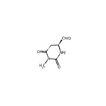 CN1C(=O)C[C@@H](C=O)NC1=O